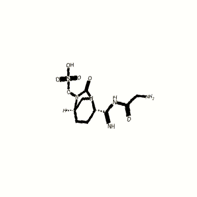 N=C(NC(=O)CN)[C@@H]1CC[C@@H]2CN1C(=O)N2OS(=O)(=O)O